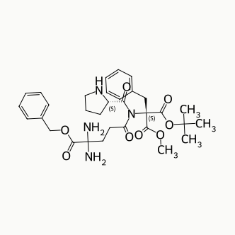 COC(=O)[C@@](Cc1ccccc1)(C(=O)OC(C)(C)C)N(C(=O)CCC(N)(N)C(=O)OCc1ccccc1)C(=O)[C@@H]1CCCN1